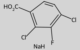 O=C(O)c1ccc(Cl)c(F)c1Cl.[NaH]